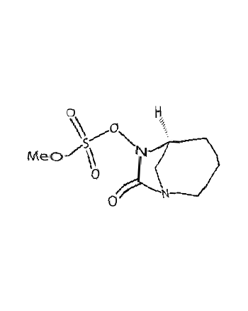 COS(=O)(=O)ON1C(=O)N2CCC[C@H]1C2